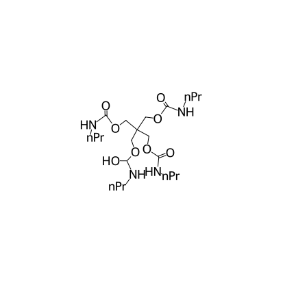 CCCNC(=O)OCC(COC(=O)NCCC)(COC(=O)NCCC)COC(O)NCCC